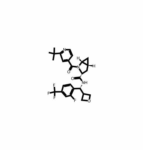 CC(C)(C)c1cc(C(=O)N2[C@@H](C(=O)N[C@@H](c3ccc(C(F)(F)F)cc3F)C3COC3)C[C@H]3C[C@H]32)ccn1